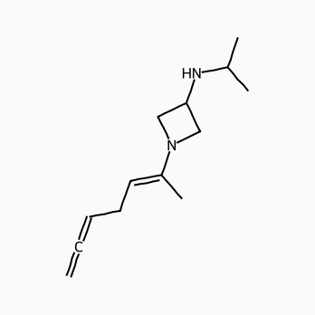 C=C=CC/C=C(\C)N1CC(NC(C)C)C1